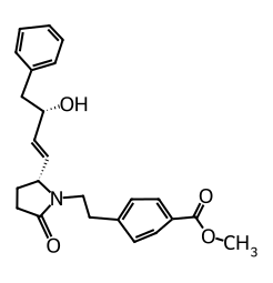 COC(=O)c1ccc(CCN2C(=O)CC[C@@H]2C=C[C@@H](O)Cc2ccccc2)cc1